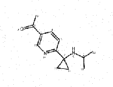 CC(=O)c1ccc(C2(NC(C)C)CC2)nc1